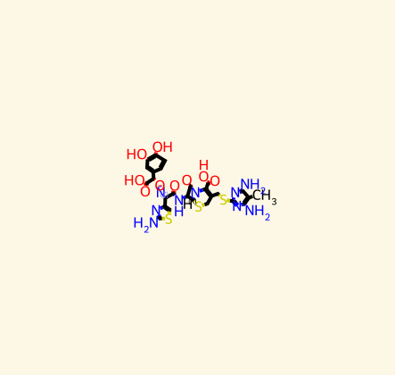 Cc1c(N)nc(SCC2=C(C(=O)O)N3C(=O)C(NC(=O)/C(=N\OC(C(=O)O)c4ccc(O)c(O)c4)c4csc(N)n4)[C@H]3SC2)nc1N